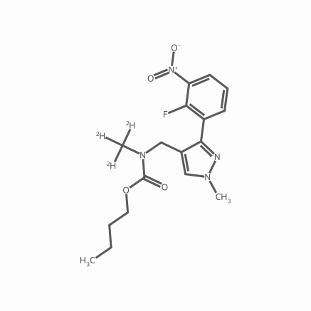 [2H]C([2H])([2H])N(Cc1cn(C)nc1-c1cccc([N+](=O)[O-])c1F)C(=O)OCCCC